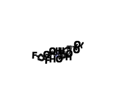 CC(C)OC(=O)C[C@H]1CC[C@@H]2[C@@H](/C=C/[C@@H](O)COc3cc(F)ccc3F)[C@H](O)C[C@@H]2OC1